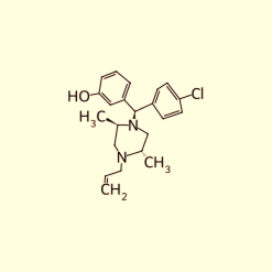 C=CCN1C[C@@H](C)N([C@H](c2ccc(Cl)cc2)c2cccc(O)c2)C[C@@H]1C